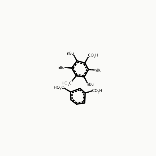 CCCCc1c(CCCC)c(C(=O)O)c(CCCC)c(CCCC)c1C(=O)O.O=C(O)c1cccc(C(=O)O)c1